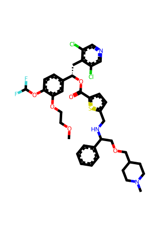 COCCOc1cc([C@H](Cc2c(Cl)cncc2Cl)OC(=O)c2ccc(CNC(COCC3CCN(C)CC3)c3ccccc3)s2)ccc1OC(F)F